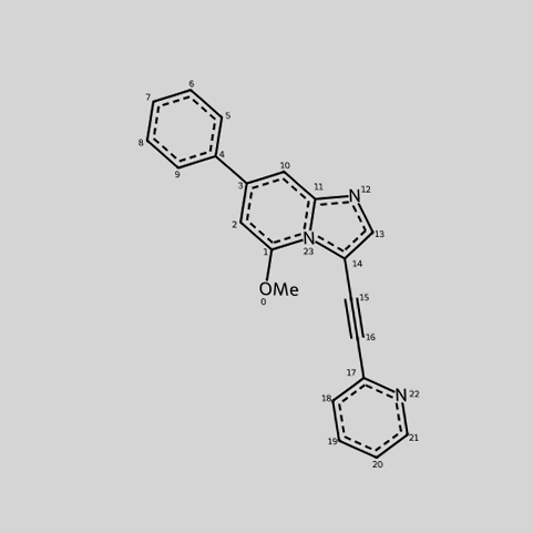 COc1cc(-c2ccccc2)cc2ncc(C#Cc3ccccn3)n12